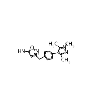 Cc1nn(C)c(C)c1-c1ccc(C[n+]2cc([NH-])on2)cc1